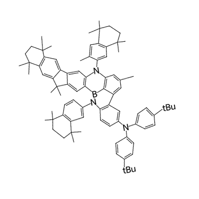 Cc1cc2c3c(c1)N(c1cc4c(cc1C)C(C)(C)CCC4(C)C)c1cc4c(cc1B3N(c1ccc3c(c1)C(C)(C)CCC3(C)C)c1ccc(N(c3ccc(C(C)(C)C)cc3)c3ccc(C(C)(C)C)cc3)cc1-2)C(C)(C)c1cc2c(cc1-4)C(C)(C)CCC2(C)C